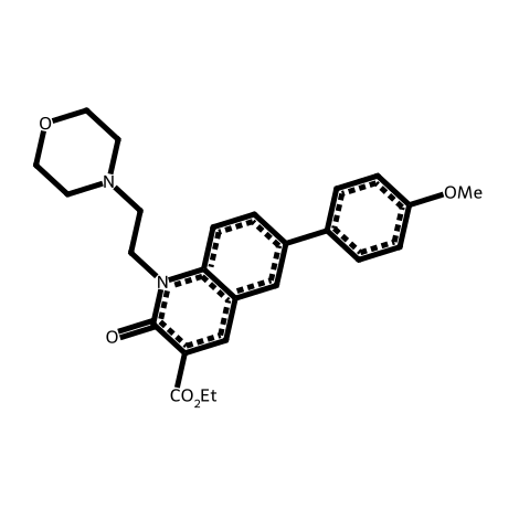 CCOC(=O)c1cc2cc(-c3ccc(OC)cc3)ccc2n(CCN2CCOCC2)c1=O